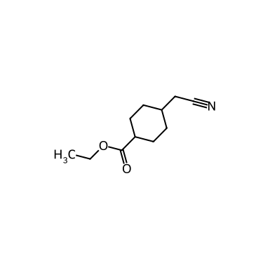 CCOC(=O)C1CCC(CC#N)CC1